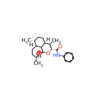 C[C@H]1[C@H](C(=O)Nc2ccccc2)O[C@@H]2O[C@@]3(C)CC[C@H]4[C@H](C)CC[C@@H]1[C@@]24OO3